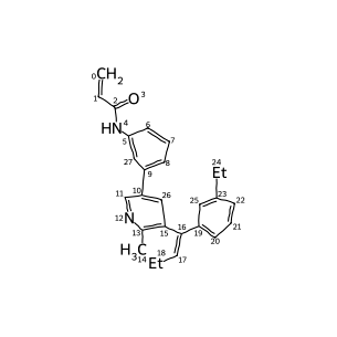 C=CC(=O)Nc1cccc(-c2cnc(C)c(/C(=C\CC)c3cccc(CC)c3)c2)c1